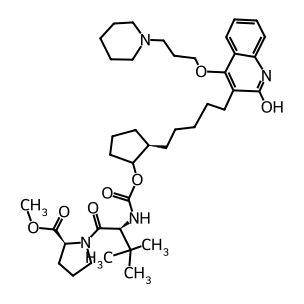 COC(=O)[C@@H]1CCCN1C(=O)[C@@H](NC(=O)OC1CCC[C@H]1CCCCCc1c(O)nc2ccccc2c1OCCCN1CCCCC1)C(C)(C)C